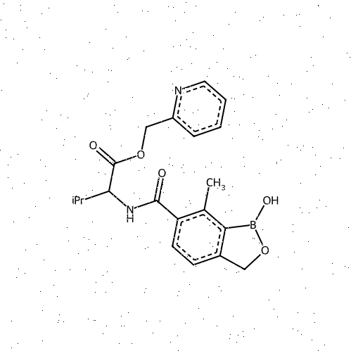 Cc1c(C(=O)NC(C(=O)OCc2ccccn2)C(C)C)ccc2c1B(O)OC2